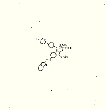 CC(C)(C)Sc1c(CC(C)(C)C(=O)O)n(Cc2ccc(-c3ccc(C(F)(F)F)cn3)cc2)c2ccc(OCc3cn4ccccc4n3)cc12